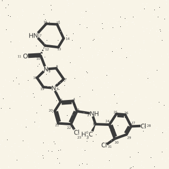 C[C@@H](Nc1cc(N2CCN(C(=O)[C@H]3CCCCN3)CC2)ccc1Cl)c1ccc(Cl)cc1Cl